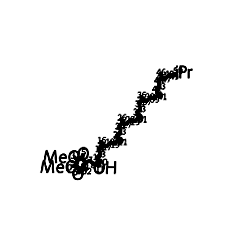 COC1=C(OC)C(=O)C(CCC(C)(O)CCC=C(C)CCC=C(C)CCCC(C)CCCC(C)CCCC(C)CCCC(C)CCCC(C)CCCC(C)C)=C(C)C1=O